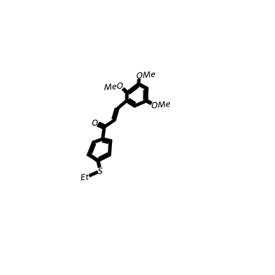 CCSc1ccc(C(=O)C=Cc2cc(OC)cc(OC)c2OC)cc1